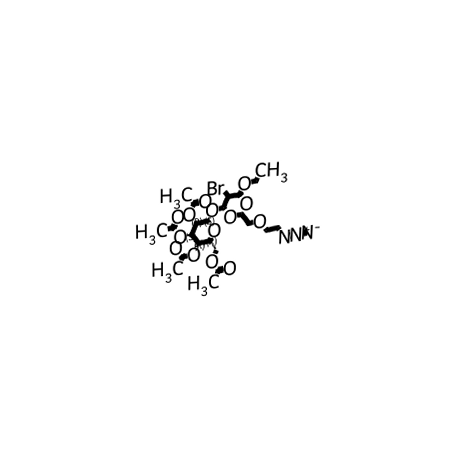 CCOC(=O)C(Br)C(OCCOCCN=[N+]=[N-])O[C@@H]1O[C@H](COC(C)=O)[C@@H](OC(C)=O)[C@H](OC(C)=O)[C@H]1OC(C)=O